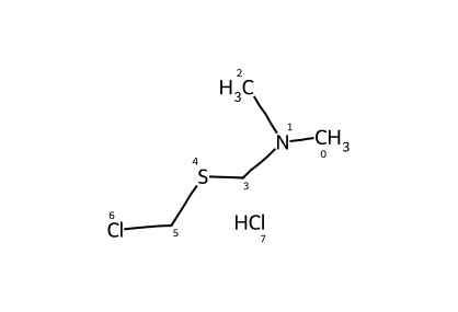 CN(C)CSCCl.Cl